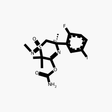 CN=S1(=O)C[C@@](C)(c2cc(I)ccc2F)N=C(OC(N)=O)C1(C)C